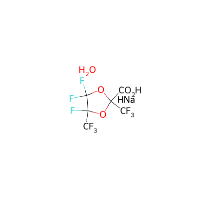 O.O=C(O)C1(C(F)(F)F)OC(F)(F)C(F)(C(F)(F)F)O1.[NaH]